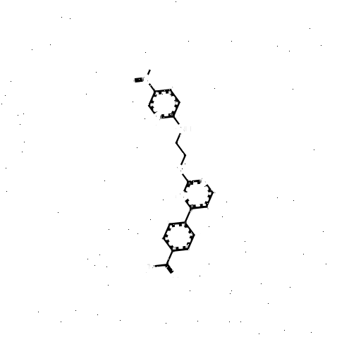 NC(=O)c1ccc(-c2ccnc(NCCNc3ccc([N+](=O)[O-])cn3)n2)cc1